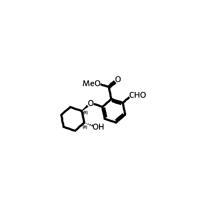 COC(=O)c1c(C=O)cccc1O[C@@H]1CCCC[C@H]1O